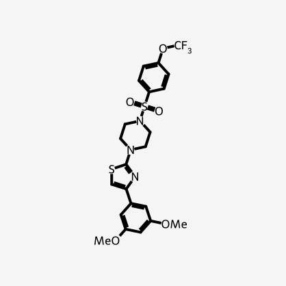 COc1cc(OC)cc(-c2csc(N3CCN(S(=O)(=O)c4ccc(OC(F)(F)F)cc4)CC3)n2)c1